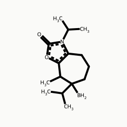 BC1(C(C)C)CCCc2c(oc(=O)n2C(C)C)C1C